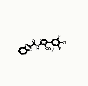 O=C(Nc1scc(-c2cc(F)c(Cl)c(F)c2)c1C(=O)O)c1nc2ccccc2o1